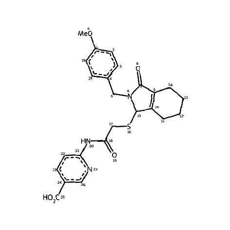 COc1ccc(CN2C(=O)C3=C(CCCC3)C2SCC(=O)Nc2ccc(C(=O)O)cn2)cc1